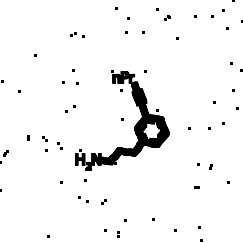 CCCC#Cc1cccc(CCCN)c1